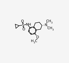 COc1ccc(NS(=O)(=O)C2CC2)c2c1C[C@@H](N(C)C)CC2